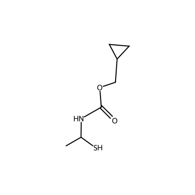 CC(S)NC(=O)OCC1CC1